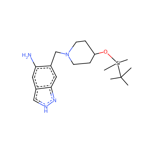 CC(C)(C)[Si](C)(C)OC1CCN(Cc2cc3n[nH]cc3cc2N)CC1